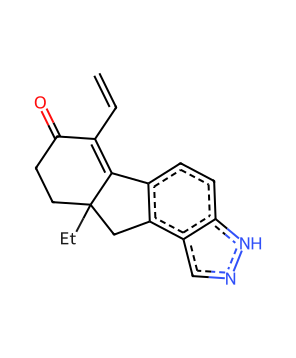 C=CC1=C2c3ccc4[nH]ncc4c3CC2(CC)CCC1=O